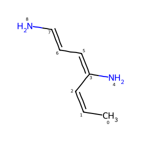 C\C=C/C(N)=C\C=C\N